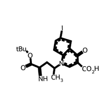 CC(CC(=N)C(=O)OC(C)(C)C)n1cc(C(=O)O)c(=O)c2cc(I)ccc21